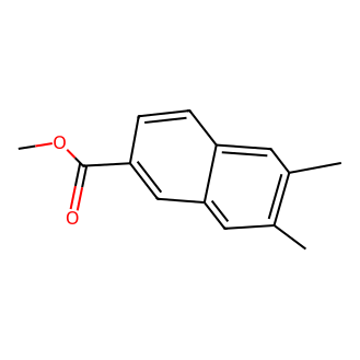 COC(=O)c1ccc2cc(C)c(C)cc2c1